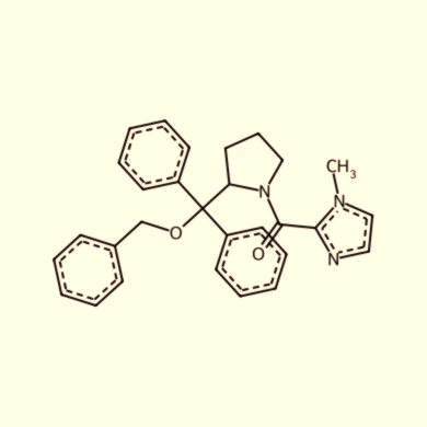 Cn1ccnc1C(=O)N1CCCC1C(OCc1ccccc1)(c1ccccc1)c1ccccc1